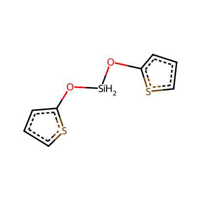 c1csc(O[SiH2]Oc2cccs2)c1